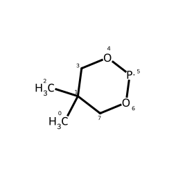 CC1(C)CO[P]OC1